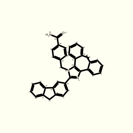 Cc1ccccc1-c1nc(-c2ccc3c(c2)-c2ccccc2C3)n(Cc2ccc(C(N)=O)cc2)c1-c1ccccc1C